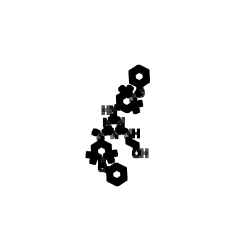 CN(c1nc(NCCO)nc(NC2CC(C)(C)N(OC3CCCCC3)C(C)(C)C2)n1)C1CC(C)(C)N(OC2CCCCC2)C(C)(C)C1